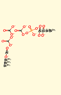 O=C([O-])[O-].O=C([O-])[O-].O=C([O-])[O-].O=P([O-])([O-])[O-].[Bi+3].[Bi+3].[Bi+3].[Bi+3].[Bi+3].[O]=[Al][O-].[O]=[Al][O-].[O]=[Al][O-]